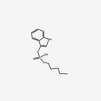 CCCCCOP(=O)(O)Oc1c[nH]c2ccccc12